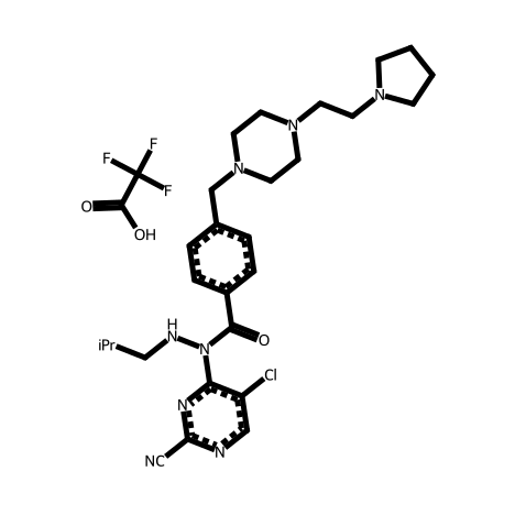 CC(C)CNN(C(=O)c1ccc(CN2CCN(CCN3CCCC3)CC2)cc1)c1nc(C#N)ncc1Cl.O=C(O)C(F)(F)F